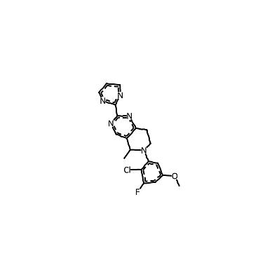 COc1cc(F)c(Cl)c(N2CCc3nc(-c4ncccn4)ncc3C2C)c1